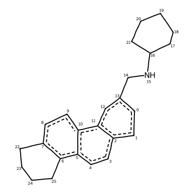 c1cc2ccc3c4c(ccc3c2cc1CNC1CCCCC1)CCCC4